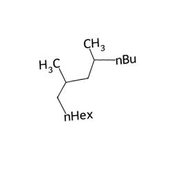 [CH2]CCCCCCC(C)CC(C)CCCC